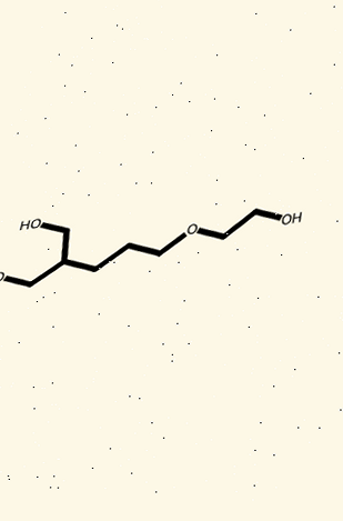 OCCO[CH]CCC(CO)CO